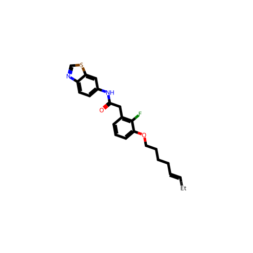 CC/C=C/CCCCOc1cccc(CC(=O)Nc2ccc3ncsc3c2)c1F